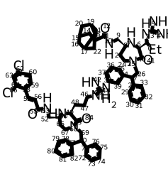 CCC(NC(=N)N)[C@@H]1N[C@H](CNC(=O)C23CC4CC(CC(C4)C2)C3)CCN(CC(c2ccccc2)c2ccccc2)C1=O.N=C(N)NCCC[C@@H]1N[C@H](CNC(=O)/C=C/c2ccc(Cl)cc2Cl)CCN(CC(c2ccccc2)c2ccccc2)C1=O